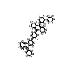 c1ccc(-c2cccc(-c3c4ccccc4c(-c4ccc(-c5ccc6c(c5)c5cccnc5n6-c5ccccc5)cc4)c4ccccc34)c2)cc1